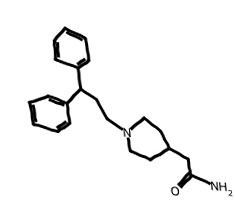 NC(=O)CC1CCN(CCC(c2ccccc2)c2ccccc2)CC1